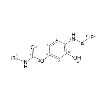 CCC(C)NC(=O)Oc1ccc(NCC(C)C)c(O)c1